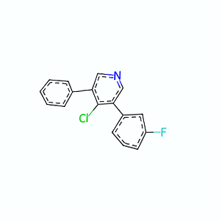 Fc1cccc(-c2cncc(-c3ccccc3)c2Cl)c1